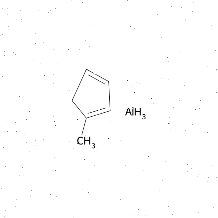 CC1=CC=CC1.[AlH3]